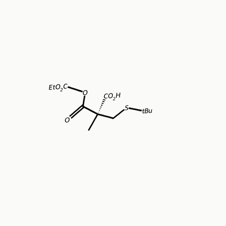 CCOC(=O)OC(=O)[C@](C)(CSC(C)(C)C)C(=O)O